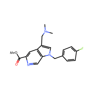 COC(=O)c1cc2c(CN(C)C)cn(Cc3ccc(F)cc3)c2cn1